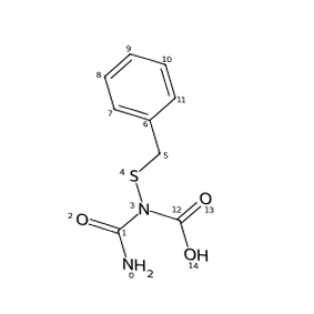 NC(=O)N(SCc1ccccc1)C(=O)O